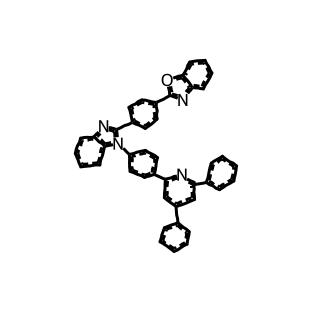 c1ccc(-c2cc(-c3ccccc3)nc(-c3ccc(-n4c(-c5ccc(-c6nc7ccccc7o6)cc5)nc5ccccc54)cc3)c2)cc1